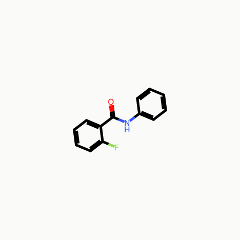 O=C(Nc1ccccc1)c1ccccc1F